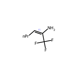 CCC/C=C(/N)C(F)(F)F